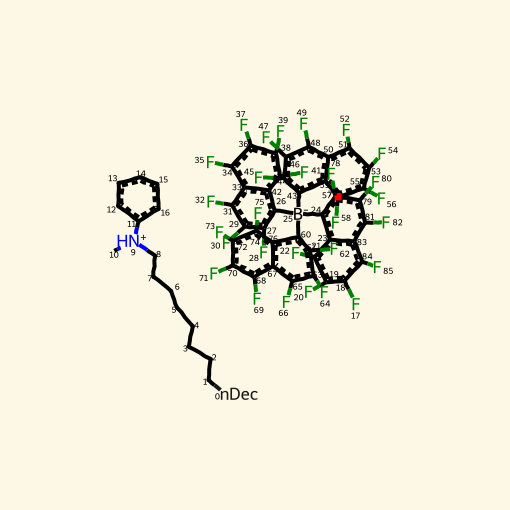 CCCCCCCCCCCCCCCCCC[NH+](C)c1ccccc1.Fc1c(F)c(F)c2c([B-](c3c(F)c(F)c(F)c4c(F)c(F)c(F)c(F)c34)(c3c(F)c(F)c(F)c4c(F)c(F)c(F)c(F)c34)c3c(F)c(F)c(F)c4c(F)c(F)c(F)c(F)c34)c(F)c(F)c(F)c2c1F